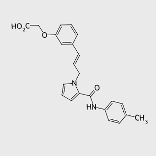 Cc1ccc(NC(=O)c2cccn2C/C=C/c2cccc(OCC(=O)O)c2)cc1